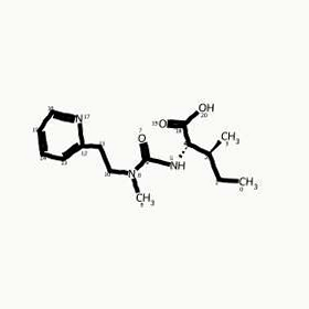 CC[C@H](C)[C@H](NC(=O)N(C)CCc1ccccn1)C(=O)O